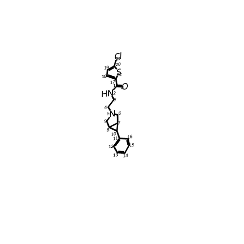 O=C(NCCN1CC2C(C1)C2c1ccccc1)c1ccc(Cl)s1